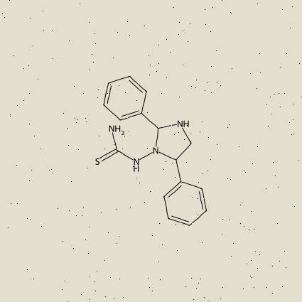 NC(=S)NN1C(c2ccccc2)CNC1c1ccccc1